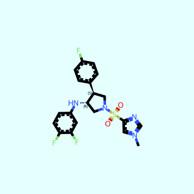 Cn1cnc(S(=O)(=O)N2C[C@H](Nc3ccc(F)c(F)c3)[C@@H](c3ccc(F)cc3)C2)c1